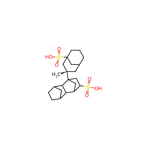 C[C@]1(C23CC(C4C5CCC(C5)C42)C(S(=O)(=O)O)C3)CC2CCCC(S(=O)(=O)O)(C2)C1